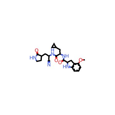 COc1cccc2c1CC(C(=O)NC(CC1CC1)C(=O)NC(C#N)CC1CCNC1=O)N2